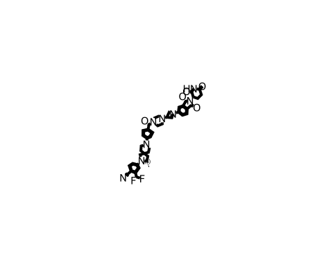 C[C@H]1CC2(CCN(c3ccc(C(=O)N4CCN(C5CN(c6ccc7c(c6)C(=O)N(C6CCC(=O)NC6=O)C7=O)C5)CC4)cc3)CC2)CN1c1ccc(C#N)c(C(F)F)c1